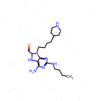 CCCCNc1nc(N)c2c(n1)N(CCCCC1CCNCC1)C(C=O)N2